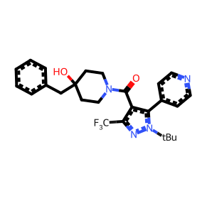 CC(C)(C)n1nc(C(F)(F)F)c(C(=O)N2CCC(O)(Cc3ccccc3)CC2)c1-c1ccncc1